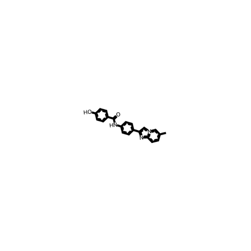 Cc1ccc2nc(-c3ccc(NC(=O)c4ccc(O)cc4)cc3)cn2c1